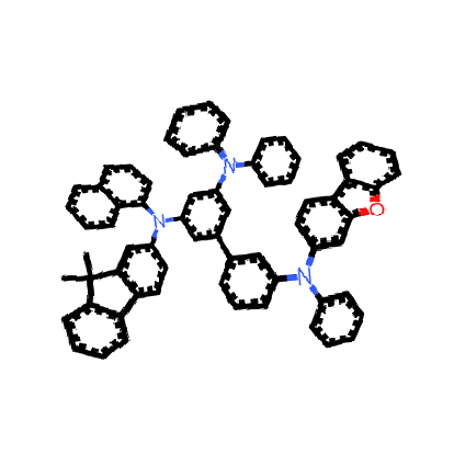 CC1(C)c2ccccc2-c2ccc(N(c3cc(-c4cccc(N(c5ccccc5)c5ccc6c(c5)oc5ccccc56)c4)cc(N(c4ccccc4)c4ccccc4)c3)c3cccc4ccccc34)cc21